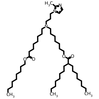 CCCCCCCCCOC(=O)CCCCCCCN(CCCCCCCOC(=O)C(CCCCCCCC)CCCCCCCC)CCCn1ccnc1C